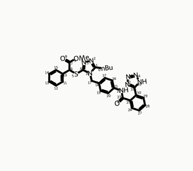 CCCCc1nnc(SC(C(=O)OC)c2ccccc2)n1Cc1ccc(NC(=O)c2ccccc2-c2nnn[nH]2)cc1